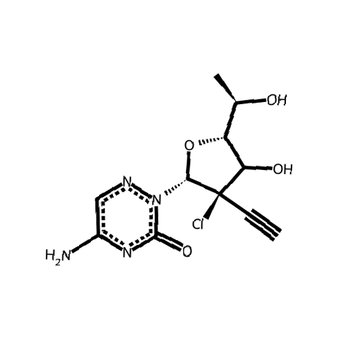 C#C[C@@]1(Cl)C(O)[C@@H]([C@@H](C)O)O[C@H]1n1ncc(N)nc1=O